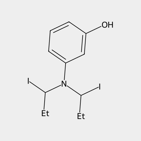 CCC(I)N(c1cccc(O)c1)C(I)CC